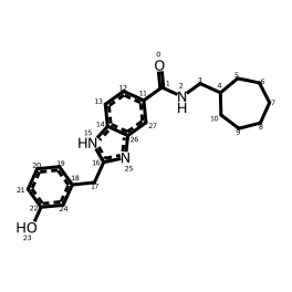 O=C(NCC1CCCCCC1)c1ccc2[nH]c(Cc3cccc(O)c3)nc2c1